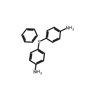 Nc1ccc(Sc2ccc(N)cc2)cc1.c1ccccc1